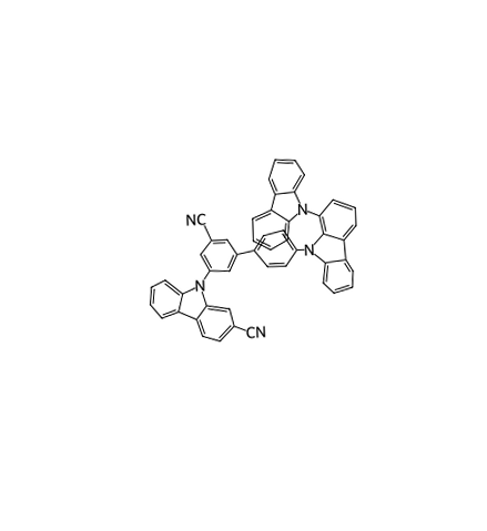 N#Cc1cc(-c2ccc(-n3c4ccccc4c4cccc(-n5c6ccccc6c6ccccc65)c43)cc2)cc(-n2c3ccccc3c3ccc(C#N)cc32)c1